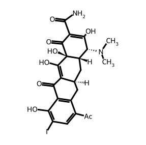 CC(=O)c1cc(I)c(O)c2c1C[C@@H]1C[C@H]3[C@@H](N(C)C)C(O)=C(C(N)=O)C(=O)[C@@]3(O)C(O)=C1C2=O